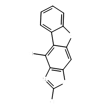 Clc1nc2c(Cl)c3c(cc2o1)oc1ccccc13